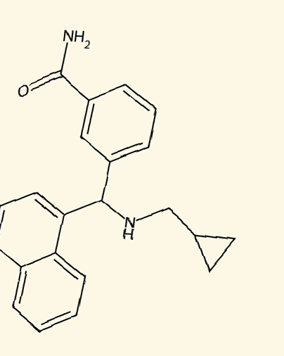 NC(=O)c1cccc(C(NCC2CC2)c2cccc3ccccc23)c1